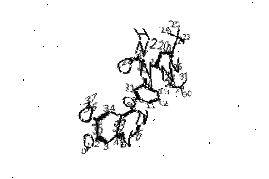 COc1cc2ncnc(Oc3cccc(N(C(N)=O)c4cc(C(C)(C)C)nn4CC(C)C)c3)c2cc1OC